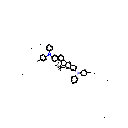 Cc1ccc(N(c2ccccc2)c2ccc3cc4c(cc3c2)C([Si](C)(C)C)([Si](C)(C)C)c2c-4ccc3cc(N(c4ccccc4)c4ccc(C)cc4)ccc23)cc1